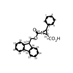 O=C(O)[C@@H]1C(c2ccccc2)N1C(=O)OCC1c2ccccc2-c2ccccc21